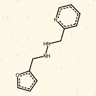 c1ccc(CNNCc2ccco2)nc1